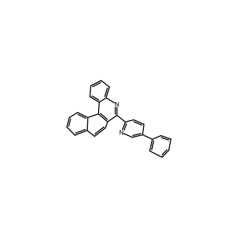 c1ccc(-c2ccc(-c3nc4ccccc4c4c3ccc3ccccc34)nc2)cc1